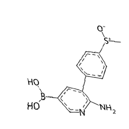 C[S+]([O-])c1ccc(-c2cc(B(O)O)cnc2N)cc1